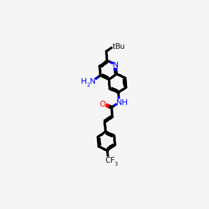 CC(C)(C)Cc1cc(N)c2cc(NC(=O)C=Cc3ccc(C(F)(F)F)cc3)ccc2n1